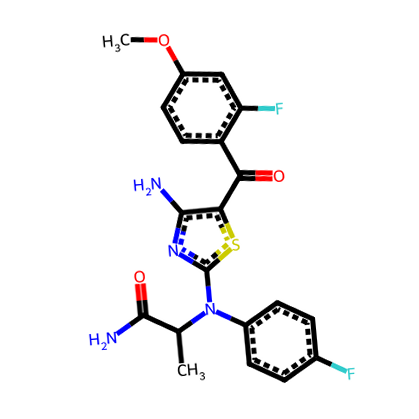 COc1ccc(C(=O)c2sc(N(c3ccc(F)cc3)C(C)C(N)=O)nc2N)c(F)c1